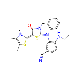 CCNc1ccc(C#N)cc1/N=C1\S/C(=C2\SC(C)=C(C)N2C)C(=O)N1Cc1ccccc1